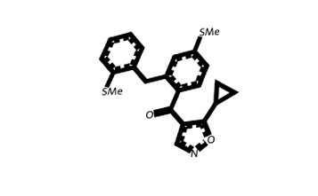 CSc1ccc(C(=O)c2cnoc2C2CC2)c(Cc2ccccc2SC)c1